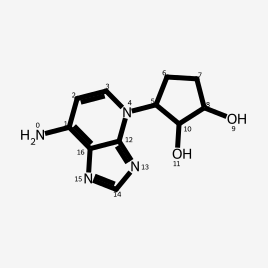 Nc1ccn(C2CCC(O)C2O)c2ncnc1-2